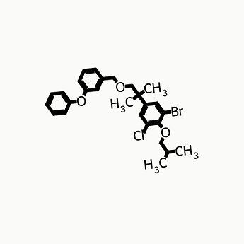 CC(C)COc1c(Cl)cc(C(C)(C)COCc2cccc(Oc3ccccc3)c2)cc1Br